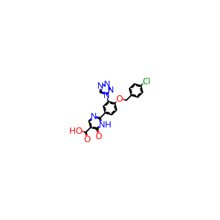 O=C(O)c1cnc(-c2ccc(OCc3ccc(Cl)cc3)c(-n3cnnn3)c2)[nH]c1=O